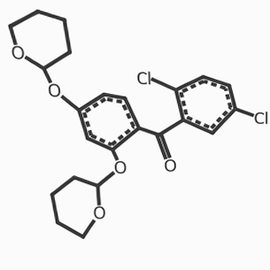 O=C(c1cc(Cl)ccc1Cl)c1ccc(OC2CCCCO2)cc1OC1CCCCO1